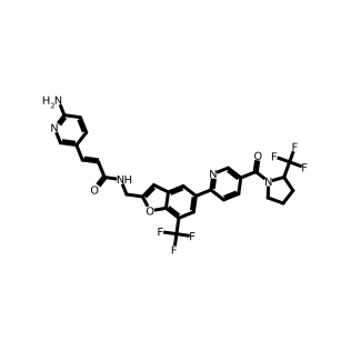 Nc1ccc(/C=C/C(=O)NCc2cc3cc(-c4ccc(C(=O)N5CCCC5C(F)(F)F)cn4)cc(C(F)(F)F)c3o2)cn1